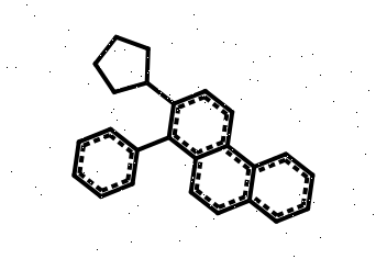 c1ccc(-c2c(C3CCCC3)ccc3c2ccc2ccccc23)cc1